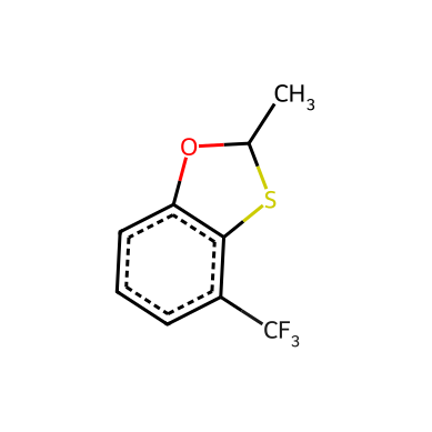 CC1Oc2cccc(C(F)(F)F)c2S1